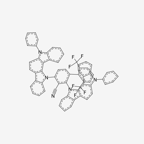 N#Cc1c(-n2c3ccccc3c3ccc4c(c5ccccc5n4-c4ccccc4)c32)ccc(-c2c(C(F)(F)F)cccc2C(F)(F)F)c1-n1c2ccccc2c2ccc3c(c4ccccc4n3-c3ccccc3)c21